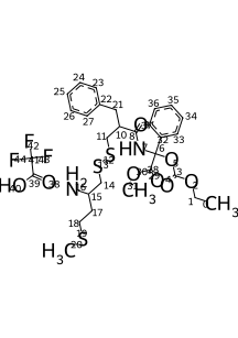 CCOC(=O)OC(NC(=O)C(CSSCC(N)CCSC)Cc1ccccc1)(C(=O)OC)c1ccccc1.O=C(O)C(F)(F)F